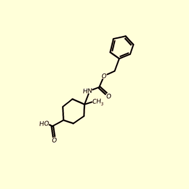 CC1(NC(=O)OCc2ccccc2)CCC(C(=O)O)CC1